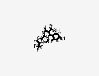 CCN1C(c2nc(C(F)(F)F)cs2)=NC(C)=C(C(=O)O)C1c1ccc(Cl)cc1Cl